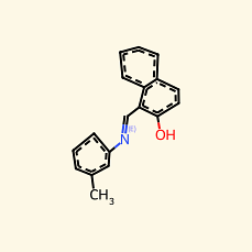 Cc1cccc(/N=C/c2c(O)ccc3ccccc23)c1